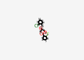 Fc1ccccc1C1OCC(OCc2ccccc2Cl)CO1